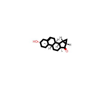 C[C@]12CC[C@H](O)CC1=CC[C@H]1[C@@H]3[C@@H]4C[C@@H]4C(=O)[C@@]3(C)CC[C@@H]12